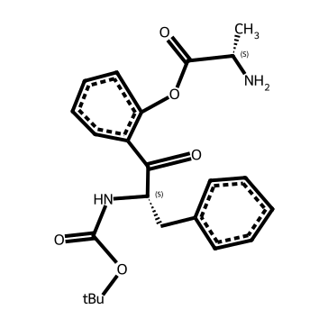 C[C@H](N)C(=O)Oc1ccccc1C(=O)[C@H](Cc1ccccc1)NC(=O)OC(C)(C)C